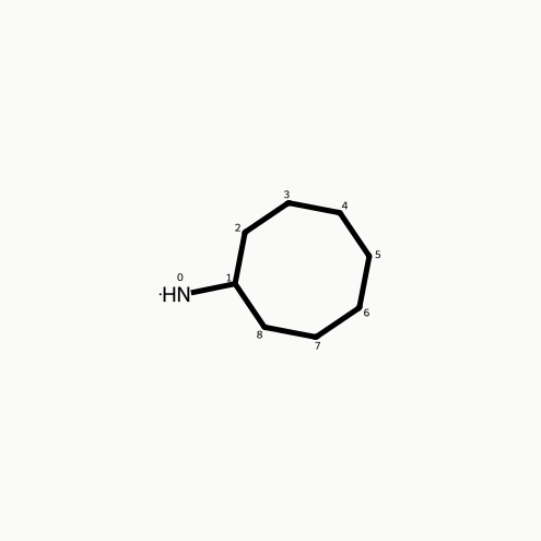 [NH]C1CCCCCCC1